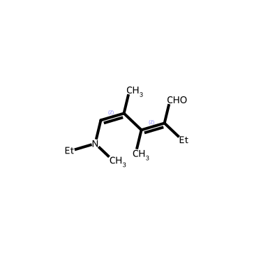 CC/C(C=O)=C(C)/C(C)=C\N(C)CC